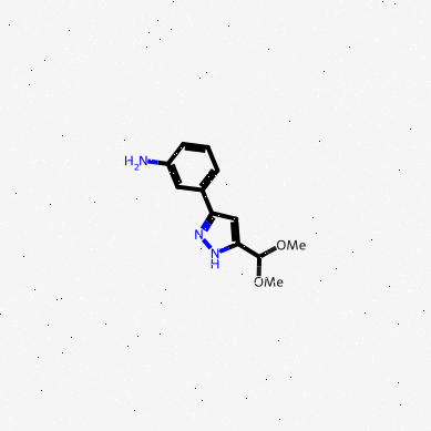 COC(OC)c1cc(-c2cccc(N)c2)n[nH]1